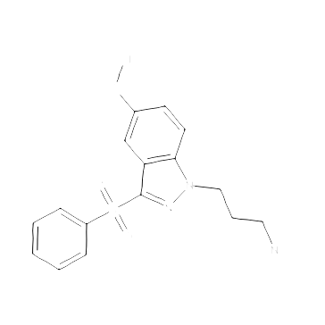 COc1ccc2c(c1)c(S(=O)(=O)c1ccccc1)nn2CCCN